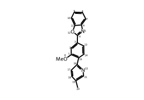 COc1cc(-c2nc3ccccc3o2)ccc1-c1ccc(C)cn1